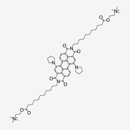 C[N+](C)(C)CCOC(=O)CCCCCCCCCCN1C(=O)c2ccc3c4c(N5CCCC5)cc5c6c(ccc(c7c(N8CCCC8)cc(c2c37)C1=O)c64)C(=O)N(CCCCCCCCCCC(=O)OCC[N+](C)(C)C)C5=O